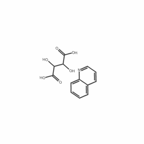 O=C(O)C(O)C(O)C(=O)O.c1ccc2ncccc2c1